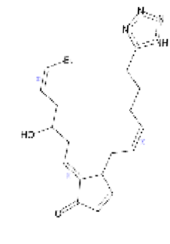 CC/C=C\CC(O)C/C=C1/C(=O)C=CC1C/C=C\CCCc1nnn[nH]1